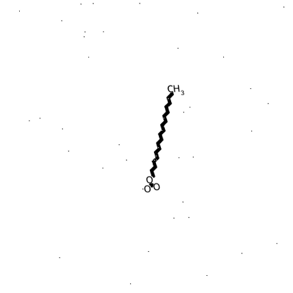 CCCCCCCCCCCCCCCCCCCCOC([O])=O